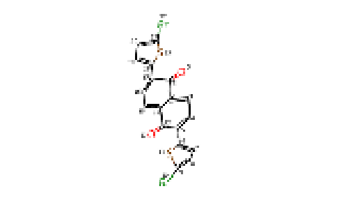 O=C1C2=CC=C(c3ccc(Br)s3)C(=O)C2=CC=C1c1ccc(Br)s1